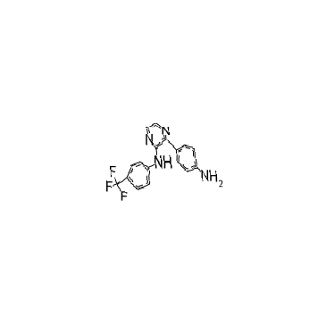 Nc1ccc(-c2nccnc2Nc2ccc(C(F)(F)F)cc2)cc1